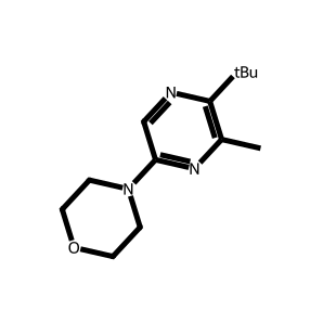 Cc1nc(N2CCOCC2)cnc1C(C)(C)C